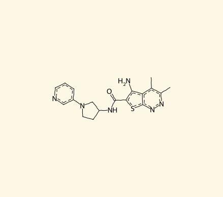 Cc1nnc2sc(C(=O)NC3CCN(c4cccnc4)C3)c(N)c2c1C